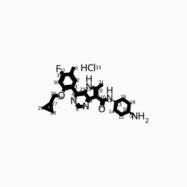 Cc1cc(-c2ncnc3c(C(=O)N[C@H]4CC[C@H](N)CC4)c(C)[nH]c23)c(OCC2CC2)cc1F.Cl